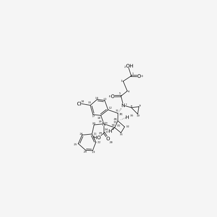 O=C(O)CCC(=O)N(C1CC1)[C@H]1c2ccc(Cl)cc2[N+](Cc2ccccc2)(C(=O)O)[C@H]2CC[C@H]12